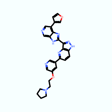 c1cc(-c2cncc3[nH]c(-c4n[nH]c5ccc(-c6cncc(OCCN7CCCC7)c6)nc45)nc23)co1